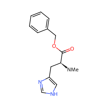 CN[C@@H](Cc1c[nH]cn1)C(=O)OCc1ccccc1